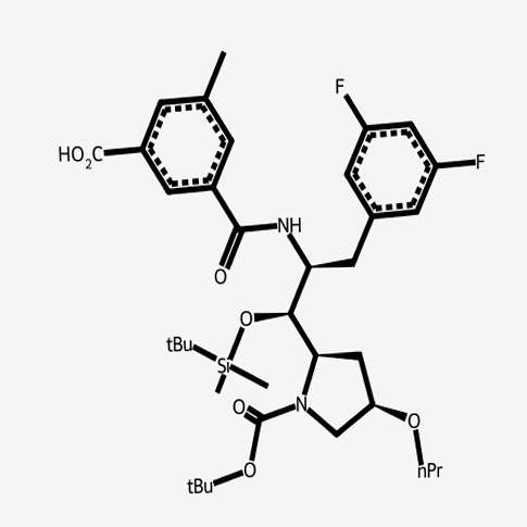 CCCO[C@@H]1C[C@H]([C@@H](O[Si](C)(C)C(C)(C)C)[C@H](Cc2cc(F)cc(F)c2)NC(=O)c2cc(C)cc(C(=O)O)c2)N(C(=O)OC(C)(C)C)C1